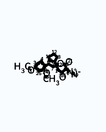 COc1ccc(CCC2(C3CCCC3)CC(=O)C(=[N+]=[N-])C(=O)O2)c(OC)c1